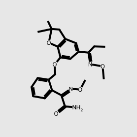 CC/C(=N\OC)c1cc2c(c(OCc3ccccc3C(=NOC)C(N)=O)c1)OC(C)(C)C2